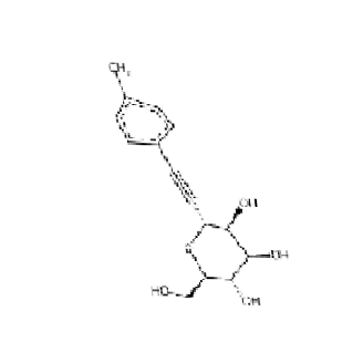 Cc1ccc(C#C[C@H]2O[C@H](CO)[C@@H](O)[C@H](O)[C@@H]2O)cc1